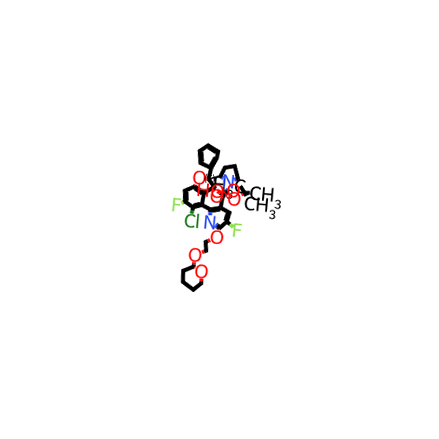 CC(C)(C)OC(=O)N1CCCC1[C@@]1(c2ccccc2)Cc2c(cc(F)c(Cl)c2-c2nc(OCCOC3CCCCO3)c(F)cc2C(=O)O)O1